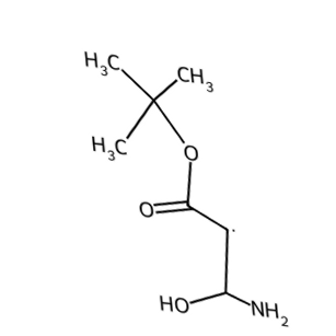 CC(C)(C)OC(=O)[CH]C(N)O